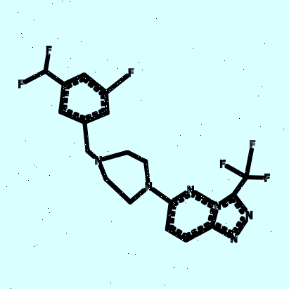 Fc1cc(CN2CCN(c3ccc4nnc(C(F)(F)F)n4n3)CC2)cc(C(F)F)c1